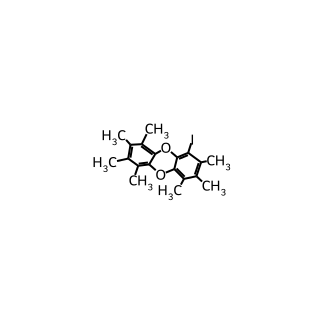 Cc1c(C)c(C)c2c(c1C)Oc1c(C)c(C)c(C)c(I)c1O2